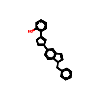 Oc1ccccc1C1=CC(c2ccc3c(c2)C=CC3Cc2ccccc2)=CC1